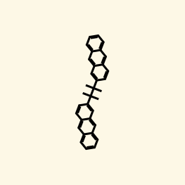 CC(C)(c1ccc2cc3ccccc3cc2c1)C(C)(C)c1ccc2cc3ccccc3cc2c1